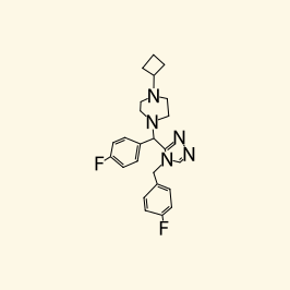 Fc1ccc(Cn2cnnc2C(c2ccc(F)cc2)N2CCN(C3CCC3)CC2)cc1